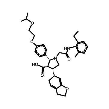 CCc1cccc(C)c1NC(=O)CN1C[C@H](C2C=C3OCCC3=CC2)[C@@H](C(=O)O)[C@@H]1c1ccc(OCCOC(C)C)cc1